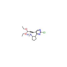 CCOC(C#Cc1cnc(Cl)nc1C1CCCC1N)OCC